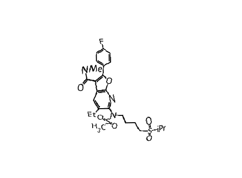 CCc1cc2c(C(=O)NC)c(-c3ccc(F)cc3)oc2nc1N(CCCCS(=O)(=O)C(C)C)S(C)(=O)=O